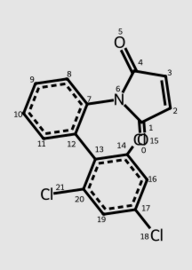 O=C1C=CC(=O)N1c1ccccc1-c1c(Cl)cc(Cl)cc1Cl